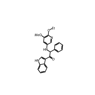 CCOc1ncc(NC(C(=O)c2c[nH]c3ccccc23)c2ccccc2)cc1OC